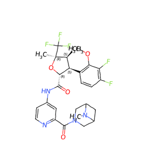 COc1c([C@H]2[C@H](C(=O)Nc3ccnc(C(=O)N4CC5CC(C4)N5C)c3)O[C@@](C)(C(F)(F)F)[C@H]2C)ccc(F)c1F